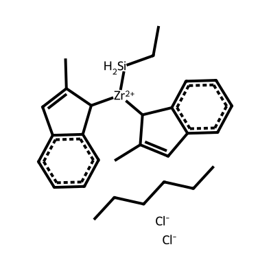 CCCCCC.CC[SiH2][Zr+2]([CH]1C(C)=Cc2ccccc21)[CH]1C(C)=Cc2ccccc21.[Cl-].[Cl-]